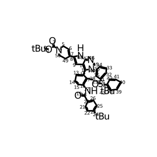 CC(C)(C)OC(=O)N1CC=C(c2cc3c(-c4cccc(NC(=O)c5ccc(C(C)(C)C)cc5)c4CO[Si](c4ccccc4)(c4ccccc4)C(C)(C)C)ncnc3[nH]2)CC1